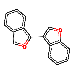 c1ccc2c(-c3coc4ccccc34)occ2c1